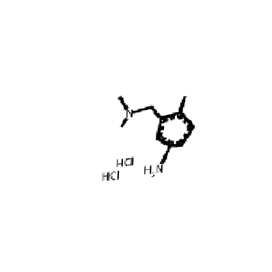 Cc1ccc(N)cc1CN(C)C.Cl.Cl